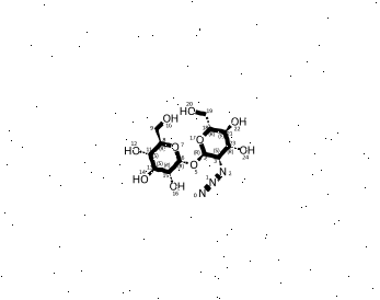 [N-]=[N+]=N[C@@H]1[C@@H](O[C@H]2O[C@H](CO)[C@@H](O)[C@H](O)[C@H]2O)O[C@H](CO)[C@@H](O)[C@@H]1O